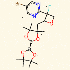 CC1(C)OB(B2OC(C)(C)C(C)(CC3OCC3(F)c3ncc(Br)cn3)O2)OC1(C)C